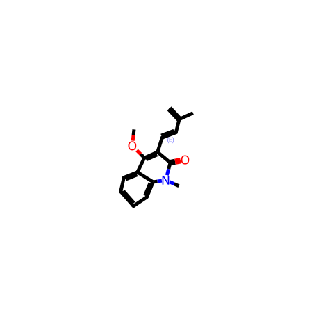 C=C(C)/C=C/c1c(OC)c2ccccc2n(C)c1=O